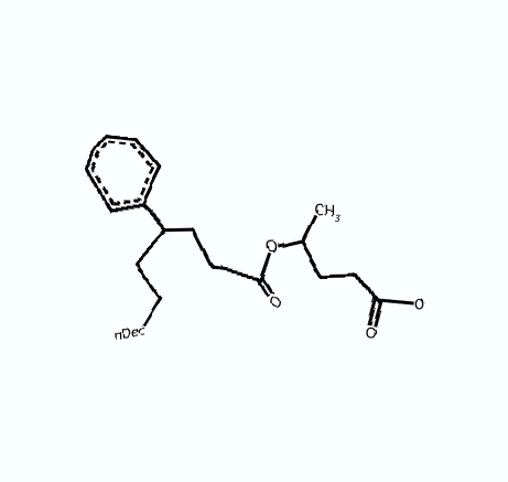 CCCCCCCCCCCCC(CCC(=O)OC(C)CCC([O])=O)c1ccccc1